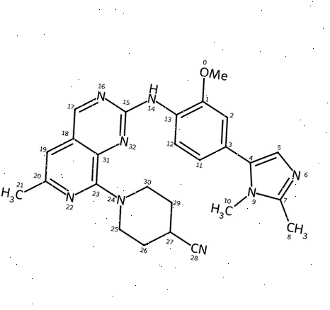 COc1cc(-c2cnc(C)n2C)ccc1Nc1ncc2cc(C)nc(N3CCC(C#N)CC3)c2n1